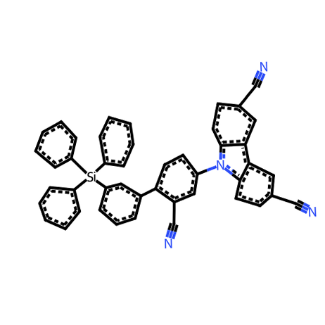 N#Cc1ccc2c(c1)c1cc(C#N)ccc1n2-c1ccc(-c2cccc([Si](c3ccccc3)(c3ccccc3)c3ccccc3)c2)c(C#N)c1